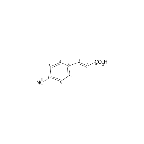 N#Cc1ccc(C=CC(=O)O)cc1